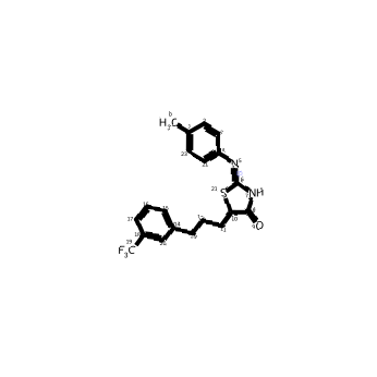 Cc1ccc(/N=C2/NC(=O)C(CCCc3cccc(C(F)(F)F)c3)S2)cc1